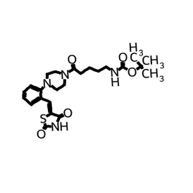 CC(C)(C)OC(=O)NCCCCC(=O)N1CCN(c2ccccc2/C=C2\SC(=O)NC2=O)CC1